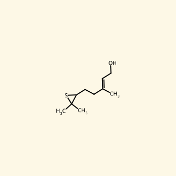 CC(=CCO)CCC1SC1(C)C